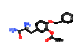 CNC(=O)Oc1cc(C[C@H](N)C(N)=O)ccc1OCc1ccccc1